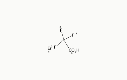 O=C(O)C(F)(F)F.[Er]